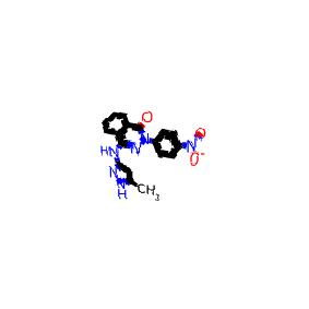 Cc1cc(Nc2nn(-c3ccc([N+](=O)[O-])cc3)c(=O)c3ccccc23)n[nH]1